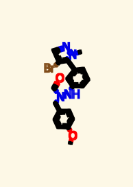 COc1ccc(CN(C=O)Nc2cccc(-c3c(Br)cnn3C)c2)cc1